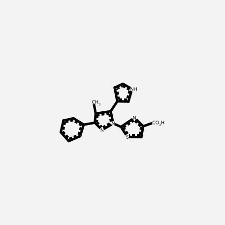 Cc1c(-c2ccccc2)nn(-c2nc(C(=O)O)cs2)c1-c1cc[nH]c1